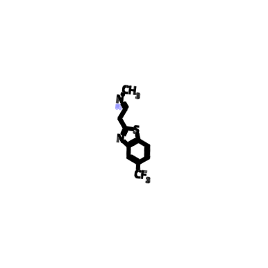 C/N=C/Cc1nc2cc(C(F)(F)F)ccc2s1